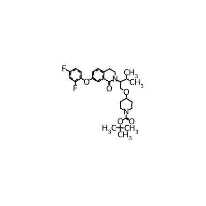 CC(C)C(COC1CCN(C(=O)OC(C)(C)C)CC1)N1CCc2ccc(Oc3ccc(F)cc3F)cc2C1=O